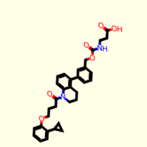 O=C(O)CCNC(=O)OCc1cccc(-c2cccc3c2CCCN3C(=O)CCCOc2ccccc2C2CC2)c1